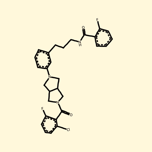 O=C(NCCCc1cccc(N2CC3CN(C(=O)c4c(F)cccc4Cl)CC3C2)c1)c1ccccc1F